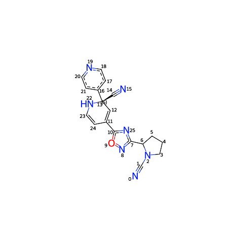 N#CN1CCCC1c1noc(C2=C[C@@](C#N)(c3ccncc3)NC=C2)n1